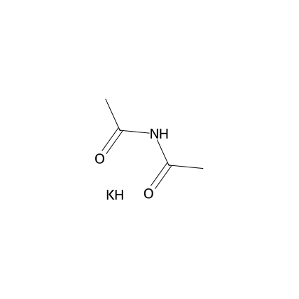 CC(=O)NC(C)=O.[KH]